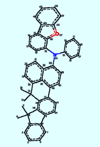 CC1(C)c2ccccc2-c2ccc3c(c21)C(C)(C)c1cccc2c(N(c4ccccc4)c4cccc5c4oc4ccccc45)ccc-3c12